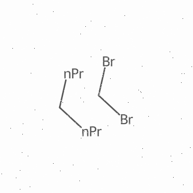 BrCBr.CCCCCCC